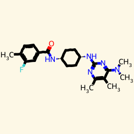 Cc1ccc(C(=O)N[C@H]2CC[C@@H](Nc3nc(C)c(C)c(N(C)C)n3)CC2)cc1F